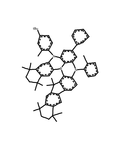 Cc1cc(C(C)(C)C)ccc1N1c2cc3c(cc2B2c4c1cc(-c1ccccc1)cc4N(c1ccccc1C)c1ccc4c(c12)C(C)(C)c1cc2c(cc1-4)C(C)(C)CCC2(C)C)C(C)(C)CCC3(C)C